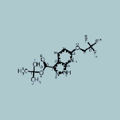 CC(C)(C)OC(=O)c1n[nH]c2nc(OCC(F)(F)F)ccc12